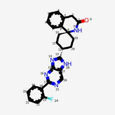 O=C1Cc2ccccc2[C@]2(CC[C@@H](c3nc4nc(-c5ccccc5F)ncc4[nH]3)CC2)N1